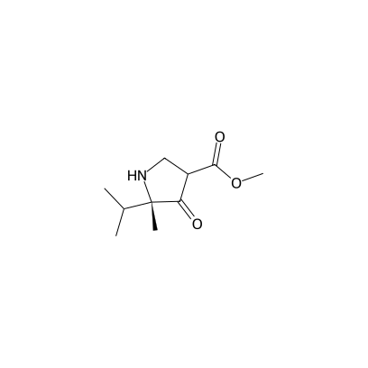 COC(=O)C1CN[C@@](C)(C(C)C)C1=O